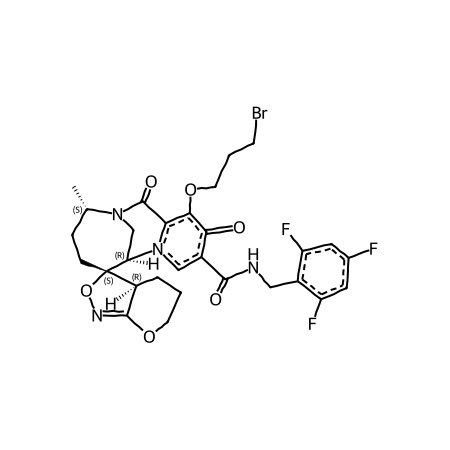 C[C@H]1CC[C@@]2(ON=C3OCCC[C@@H]32)[C@H]2CN1C(=O)c1c(OCCCBr)c(=O)c(C(=O)NCc3c(F)cc(F)cc3F)cn12